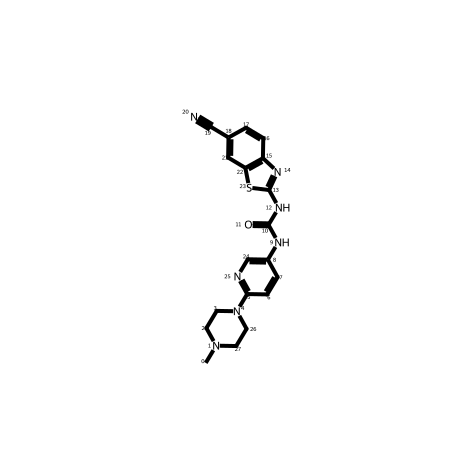 CN1CCN(c2ccc(NC(=O)Nc3nc4ccc(C#N)cc4s3)cn2)CC1